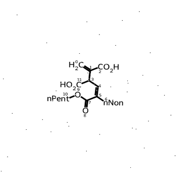 C=C(C(=O)O)C(C=C(CCCCCCCCC)C(=O)OCCCCC)C(=O)O